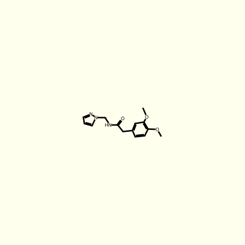 COc1ccc(CC(=O)N[C]n2cccn2)cc1OC